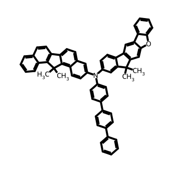 CC1(C)c2cc(N(c3ccc(-c4ccc(-c5ccccc5)cc4)cc3)c3ccc4c5c(ccc4c3)-c3ccc4ccccc4c3C5(C)C)ccc2-c2cc3c(cc21)oc1ccccc13